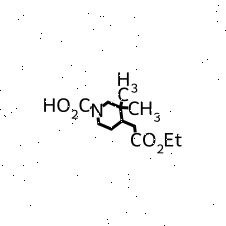 CCOC(=O)CC1CCN(C(=O)O)CC1(C)C